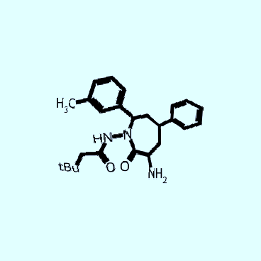 Cc1cccc(C2CC(c3ccccc3)CC(N)C(=O)N2NC(=O)CC(C)(C)C)c1